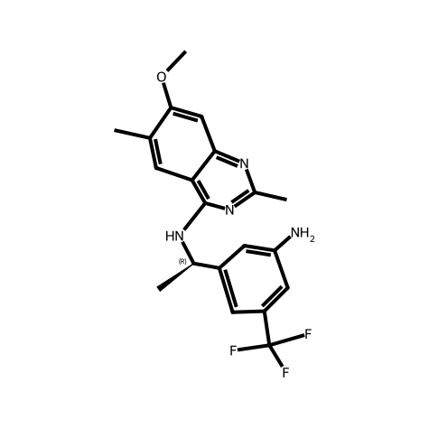 COc1cc2nc(C)nc(N[C@H](C)c3cc(N)cc(C(F)(F)F)c3)c2cc1C